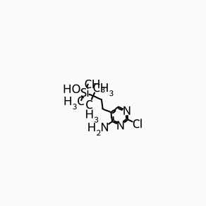 CC(C)(CCc1cnc(Cl)nc1N)[Si](C)(C)O